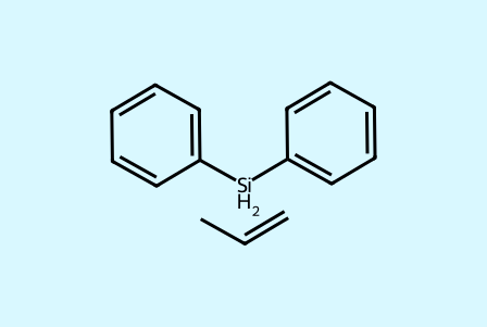 C=CC.c1ccc([SiH2]c2ccccc2)cc1